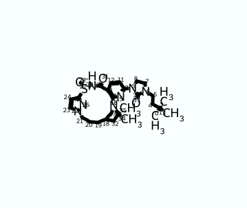 CC(C)(C)CCN1CCN(c2ccc3c(n2)N2CC(CCCn4ccc(n4)[S+]([O-])NC3=O)CC2(C)C)C1=O